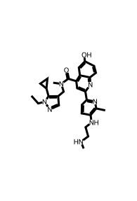 CCn1ncc(CN(C)C(=O)c2cc(-c3ccc(NCCNC)c(C)n3)nc3ccc(O)cc23)c1C1CC1